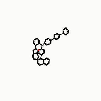 c1ccc(-c2ccc(-c3ccc(N(c4ccc(-c5cccc6ccccc56)cc4)c4ccccc4-c4cc5ccccc5o4)cc3)cc2)cc1